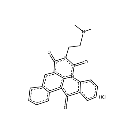 CN(C)CCn1c(=O)c2cc3ccccc3c3c(=O)c4ccccc4n(c1=O)c23.Cl